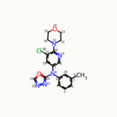 Cc1cccc(N(c2cnc(N3CCOCC3)c(Cl)c2)c2nnco2)c1